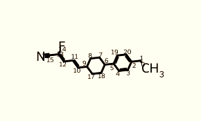 CCc1ccc(C2CCC(C=CC=C(F)C#N)CC2)cc1